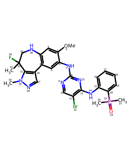 COc1cc2c(cc1Nc1ncc(Br)c(Nc3ccccc3P(C)(C)=O)n1)-c1cnn(C)c1C(C)(F)CN2